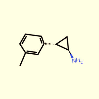 Cc1cccc([C@@H]2C[C@H]2N)c1